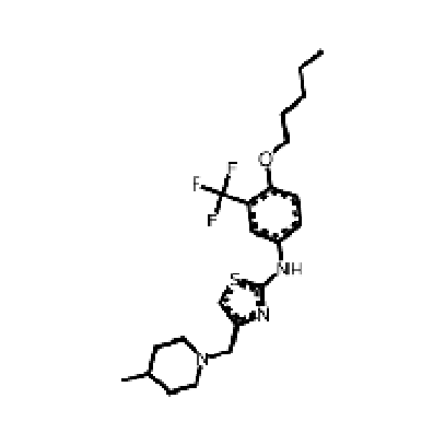 CCCCCOc1ccc(Nc2nc(CN3CCC(C)CC3)cs2)cc1C(F)(F)F